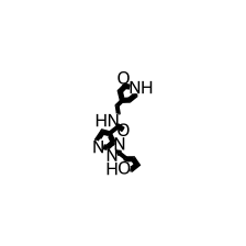 O=C(NCCc1cc[nH]c(=O)c1)c1ccnc2[nH]c(-c3ccco3)nc12